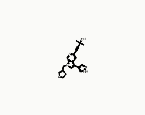 CC(C)(O)C#Cc1cc2c(-c3cn[nH]c3)cn(CC3CCOC3)c2cn1